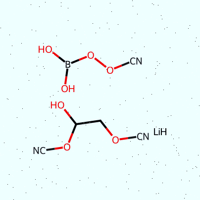 N#COCC(O)OC#N.N#COOB(O)O.[LiH]